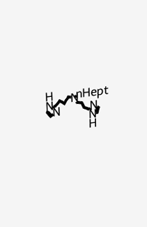 CCCCCCCN(CCCc1ncc[nH]1)CCCc1ncc[nH]1